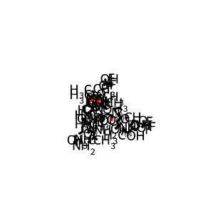 CC[C@H](C)[C@@H]([C@@H](CC(=O)N1CCC[C@H]1[C@H](OC)[C@@H](C)C(=O)N[C@H](C)[C@@H](O)c1ccccc1)OC)N(C)C(=O)[C@@H](NC(=O)[C@H](C(C)C)[N+](C)(C)Cc1ccc(NC(=O)[C@H](CCCNC(N)=O)NC(=O)[C@@H](N)C(C)C)cc1S(=O)(=O)O)C(C)C.O=C(O)C(F)(F)F.O=C([O-])C(F)(F)F